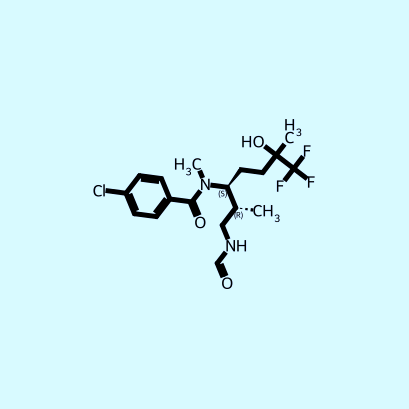 C[C@H](CNC=O)[C@H](CCC(C)(O)C(F)(F)F)N(C)C(=O)c1ccc(Cl)cc1